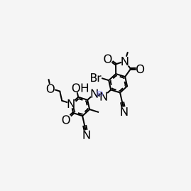 COCCn1c(O)c(/N=N/c2c(C#N)cc3c(c2Br)C(=O)N(C)C3=O)c(C)c(C#N)c1=O